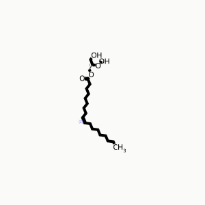 CCCCCCCC/C=C\CCCCCCCC(=O)OC[C@H](CO)OO